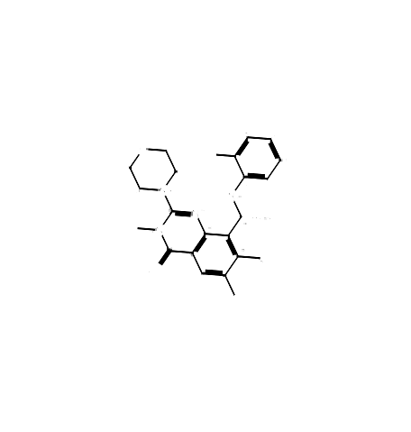 Cc1cc2c(=O)n(C)c(N3CCOCC3)nc2c([C@@H](C)Nc2ccccc2C(=O)O)c1C